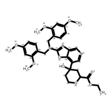 CCOC(=O)C1CC(O)(c2cncc3nc(N(Cc4ccc(OC)cc4OC)Cc4ccc(OC)cc4OC)oc23)CCO1